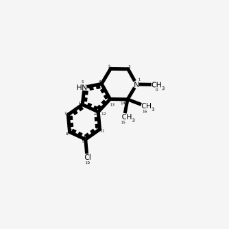 CN1CCc2[nH]c3ccc(Cl)cc3c2C1(C)C